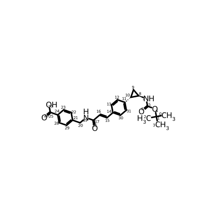 CC(C)(C)OC(=O)N[C@@H]1C[C@H]1c1ccc(/C=C/C(=O)NCc2ccc(C(=O)O)cc2)cc1